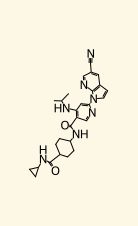 CC(C)Nc1cc(-n2ccc3cc(C#N)cnc32)ncc1C(=O)NC1CCC(C(=O)NC2CC2)CC1